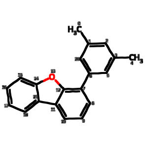 Cc1cc(C)cc(-c2cccc3c2oc2ccccc23)c1